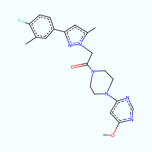 COc1cc(N2CCN(C(=O)Cn3nc(-c4ccc(F)c(C)c4)cc3C)CC2)ncn1